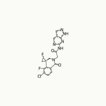 O=C(CN1C[C@]2(C[C@H]2F)c2c(ccc(Cl)c2F)C1=O)Nc1ncc2cn[nH]c2n1